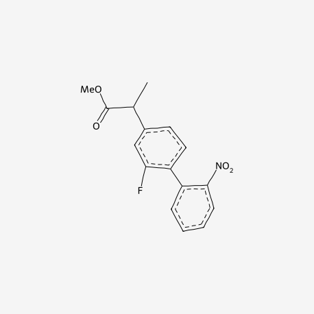 COC(=O)C(C)c1ccc(-c2ccccc2[N+](=O)[O-])c(F)c1